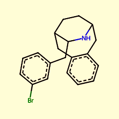 Brc1cccc(CC2NC3CCC2Cc2ccccc2C3)c1